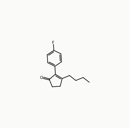 CCCCC1=C(c2ccc(F)cc2)C(=O)CC1